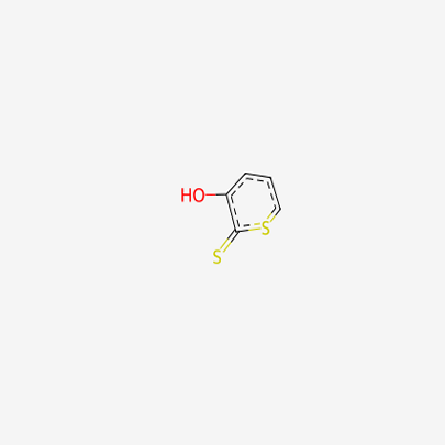 Oc1cccsc1=S